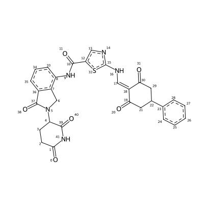 O=C1CCC(N2Cc3c(NC(=O)c4cnc(NC=C5C(=O)CC(c6ccccc6)CC5=O)s4)cccc3C2=O)C(=O)N1